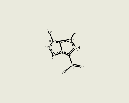 Cn1[nH]c([N+](=O)[O-])c2nn[n+]([O-])c1-2